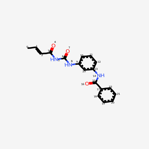 C/C=C/C(=O)NC(=O)Nc1cccc(NC(=O)c2ccccc2)c1